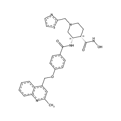 Cc1cc(COc2ccc(C(=O)N[C@@H]3CN(Cc4nccs4)CC[C@@H]3C(=O)NO)cc2)c2ccccc2n1